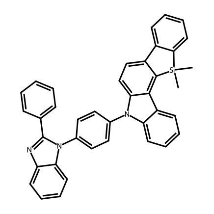 C[Si]1(C)c2ccccc2-c2ccc3c(c21)c1ccccc1n3-c1ccc(-n2c(-c3ccccc3)nc3ccccc32)cc1